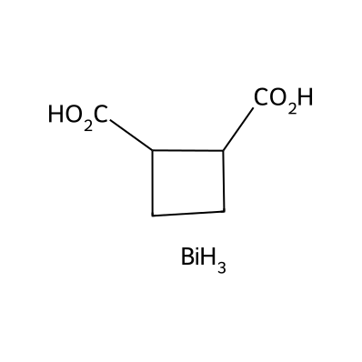 O=C(O)C1CCC1C(=O)O.[BiH3]